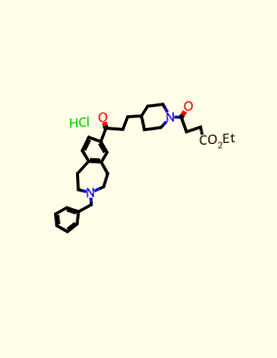 CCOC(=O)CCC(=O)N1CCC(CCC(=O)c2ccc3c(c2)CCN(Cc2ccccc2)CC3)CC1.Cl